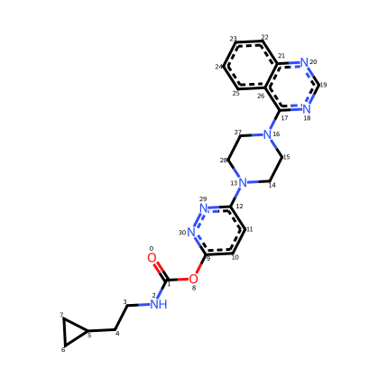 O=C(NCCC1CC1)Oc1ccc(N2CCN(c3ncnc4ccccc34)CC2)nn1